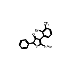 CNC1=C(c2cccc(C(F)(F)F)c2Br)C(=O)C(c2ccccc2)S1